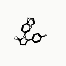 O=C1CCC(c2ccc(F)cc2)N1c1ccc2nccn2c1